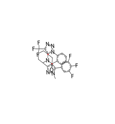 Cn1nc2c(c1-c1cc(F)c(F)c(F)c1)CC1CCCC2N1C(=O)c1ccccc1-n1cc(C(F)(F)F)nn1